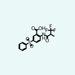 CC(C(=O)Nc1ccc(S(=O)(=O)c2ccccc2)cc1C(=O)O)C(F)(F)F